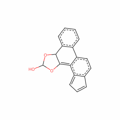 OC1OC2=c3c(ccc4c3=CC=C4)-c3ccccc3C2O1